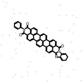 O=C1c2ccc3c4ccc5c6ccc7c(=O)n8c9c(nc8c8ccc(c%10ccc(c%11ccc(c2c3%11)C(=O)N1c1ccccc1)c4c5%10)c6c78)=CCCC=9